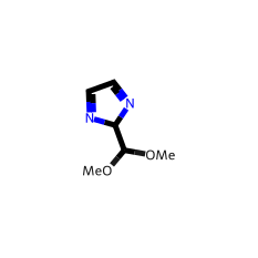 COC(OC)C1N=CC=N1